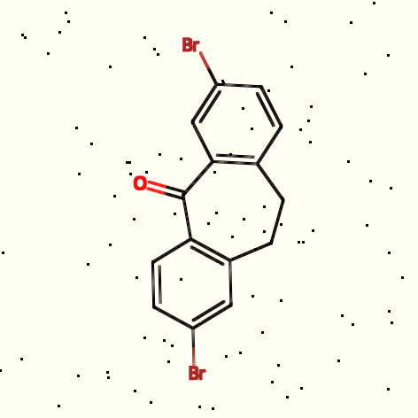 O=C1c2ccc(Br)cc2CCc2ccc(Br)cc21